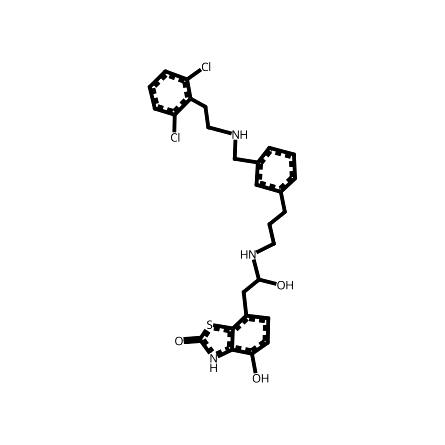 O=c1[nH]c2c(O)ccc(CC(O)NCCCc3cccc(CNCCc4c(Cl)cccc4Cl)c3)c2s1